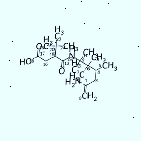 C=C(N)CC(C)C(C)(C)C(C)(C)NC(=O)C(CC(=O)O)C(C)(C)C